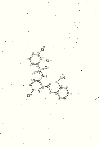 O=S(=O)(Nc1ncc(Cl)nc1OCc1ccccc1CO)c1cccc(Cl)c1Cl